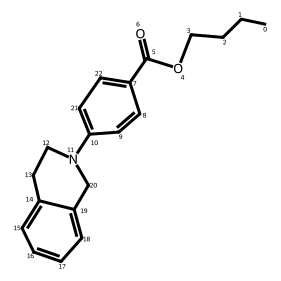 CCCCOC(=O)c1ccc(N2CCc3ccccc3C2)cc1